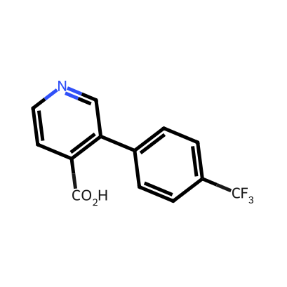 O=C(O)c1ccncc1-c1ccc(C(F)(F)F)cc1